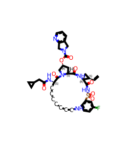 C=C[C@@H]1C[C@@]12NC(=O)[C@@H]1C[C@@H](OC(=O)N3Cc4cccnc4C3)CN1C(=O)[C@@H](NC(=O)CC1CC1)CCCCCCCNc1ccc(F)cc1S(=O)(=O)NC2=O